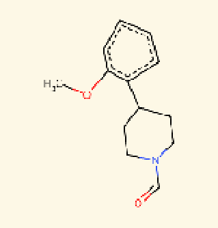 COc1ccccc1C1CCN(C=O)CC1